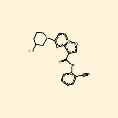 N#Cc1ccccc1NC(=O)c1cnn2ccc(N3CCCC(N)C3)nc12